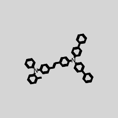 Cc1ccccc1N(c1ccccc1)c1ccc(/C=C/c2ccc(N(c3ccc(-c4ccccc4)cc3)c3ccc(-c4ccccc4)cc3)cc2)cc1